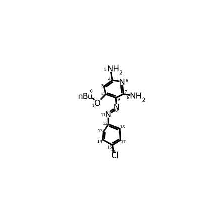 CCCCOc1cc(N)nc(N)c1/N=N/c1ccc(Cl)cc1